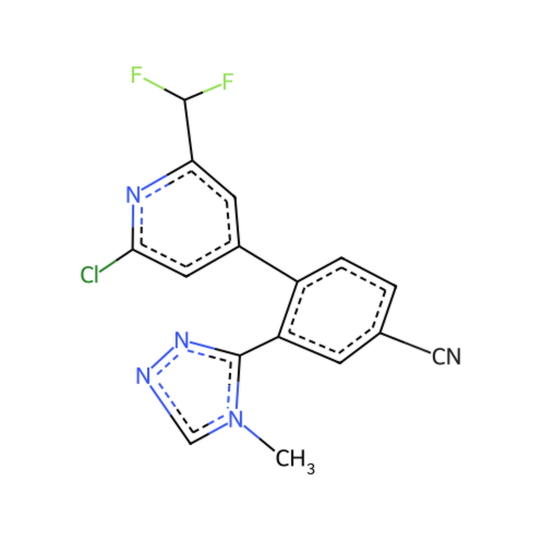 Cn1cnnc1-c1cc(C#N)ccc1-c1cc(Cl)nc(C(F)F)c1